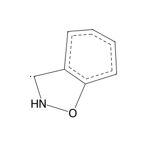 [CH]1NOc2ccccc21